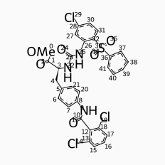 COC(=O)[C@H](Cc1ccc(NC(=O)c2c(Cl)cccc2Cl)cc1)NC(=O)Nc1cc(Cl)ccc1S(=O)(=O)c1ccccc1